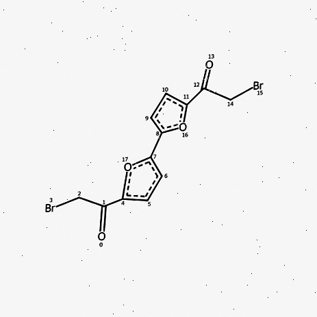 O=C(CBr)c1ccc(-c2ccc(C(=O)CBr)o2)o1